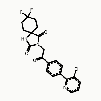 O=C(CN1C(=O)NC2(CCC(F)(F)CC2)C1=O)c1ccc(-c2ncccc2Cl)cc1